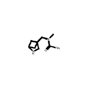 CN(CC12CNC(C1)C2)C(=O)O